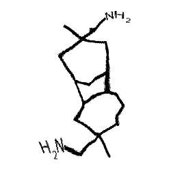 CC1(CN)CC2CC(C1)C1CC(C)(CN)CCC21